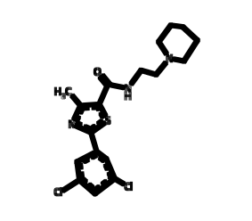 Cc1nc(-c2cc(Cl)cc(Cl)c2)sc1C(=O)NCCN1CCCCC1